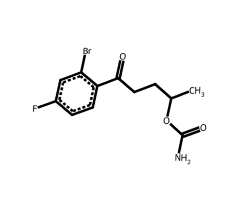 CC(CCC(=O)c1ccc(F)cc1Br)OC(N)=O